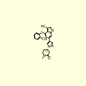 CN1CC[C@H](n2cc(-c3cc(Sc4ccccc4C#N)c4c(C#N)cnn4c3)cn2)CC1=O